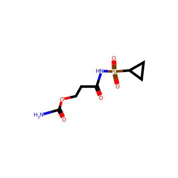 NC(=O)OCCC(=O)NS(=O)(=O)C1CC1